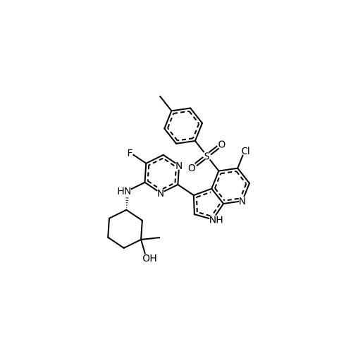 Cc1ccc(S(=O)(=O)c2c(Cl)cnc3[nH]cc(-c4ncc(F)c(N[C@H]5CCCC(C)(O)C5)n4)c23)cc1